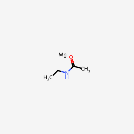 CCNC(C)=O.[Mg]